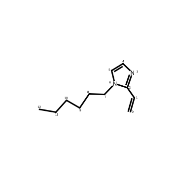 C=Cc1nccn1CCCCCC